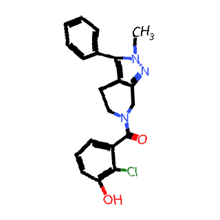 Cn1nc2c(c1-c1ccccc1)CCN(C(=O)c1cccc(O)c1Cl)C2